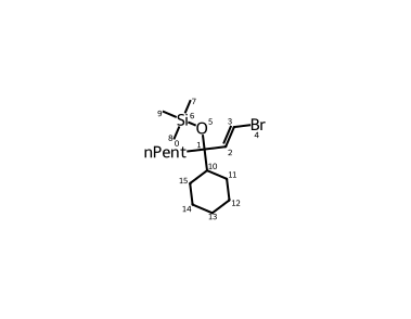 CCCCCC(C=CBr)(O[Si](C)(C)C)C1CCCCC1